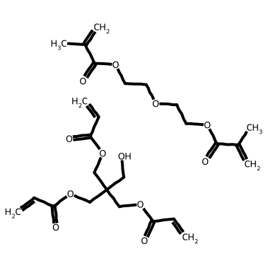 C=C(C)C(=O)OCCOCCOC(=O)C(=C)C.C=CC(=O)OCC(CO)(COC(=O)C=C)COC(=O)C=C